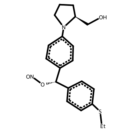 CCSc1ccc([C@H](ON=O)c2ccc(N3CCC[C@H]3CO)cc2)cc1